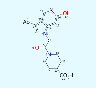 CC(=O)c1cn(CC(=O)N2CCC(C(=O)O)CC2)c2cc(O)ccc12